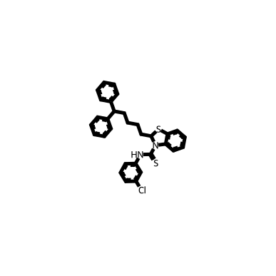 S=C(Nc1cccc(Cl)c1)N1c2ccccc2SC1CCCCC(c1ccccc1)c1ccccc1